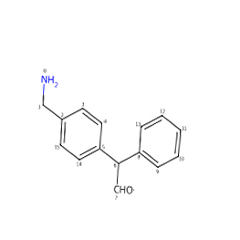 NCc1ccc(C([C]=O)c2ccccc2)cc1